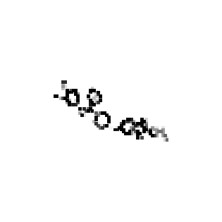 Cc1nc2ccc(C[C@H]3CC[C@H](C(=O)N4OCC[C@H]4c4ccc(F)c(F)c4)CC3)cn2n1